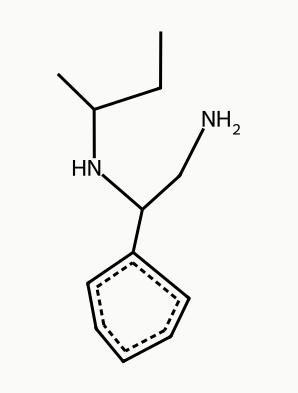 CCC(C)NC(CN)c1ccccc1